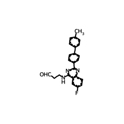 Cc1ccc(-c2ccc(-c3nc(NCCC=O)c4cc(F)ccc4n3)cc2)cc1